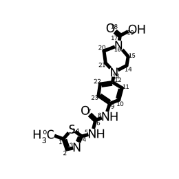 Cc1cnc(NC(=O)Nc2ccc(N3CCN(C(=O)O)CC3)cc2)s1